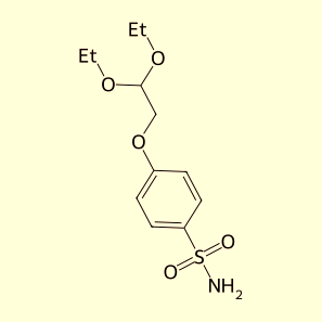 CCOC(COc1ccc(S(N)(=O)=O)cc1)OCC